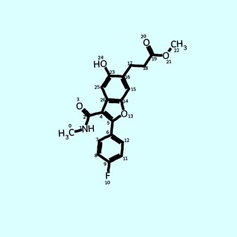 CNC(=O)c1c(-c2ccc(F)cc2)oc2cc(CCC(=O)OC)c(O)cc12